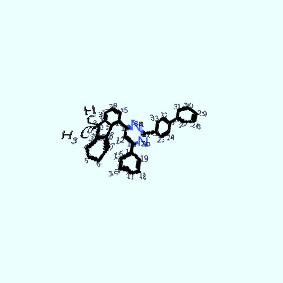 CC1(C)c2ccccc2-c2c(-c3cc(-c4ccccc4)nc(-c4ccc(-c5ccccc5)cc4)n3)cccc21